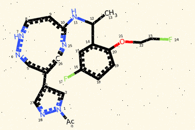 CC(=O)n1cc(-c2cn[nH]ccc(NC(C)c3cc(F)ccc3OCCF)nc2)cn1